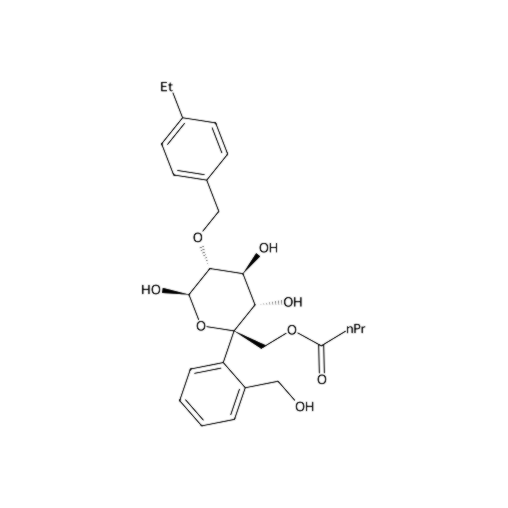 CCCC(=O)OC[C@@]1(c2ccccc2CO)O[C@@H](O)[C@H](OCc2ccc(CC)cc2)[C@@H](O)[C@@H]1O